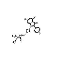 N[C@H](C(=O)NC[C@H]1C[C@H](c2c(-c3ccc(F)cc3)[nH]c3c(F)cc(F)cc32)C1)C1CC1